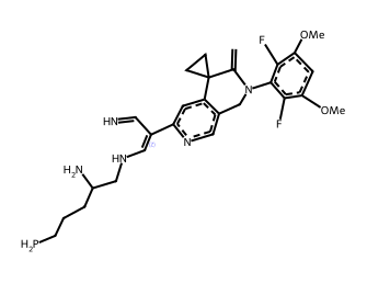 C=C1N(c2c(F)c(OC)cc(OC)c2F)Cc2cnc(/C(C=N)=C/NCC(N)CCCP)cc2C12CC2